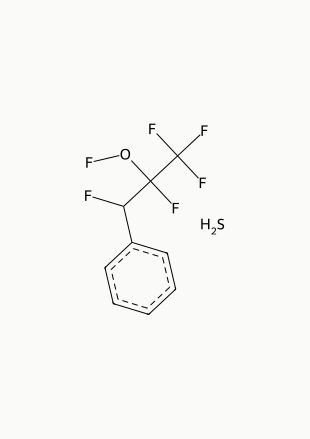 FOC(F)(C(F)c1ccccc1)C(F)(F)F.S